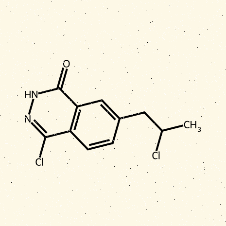 CC(Cl)Cc1ccc2c(Cl)n[nH]c(=O)c2c1